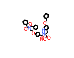 O=C(NC(Cc1ccc(OCc2ccccc2)cc1)C(=O)O)c1ccc(OCCN(C(=O)c2ccccc2)C(=O)c2ccccc2)cc1